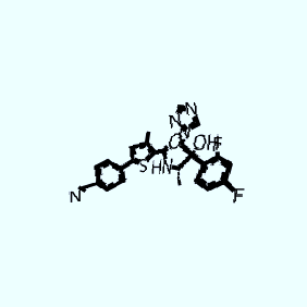 Cc1cc(-c2ccc(C#N)cc2)sc1C(=O)N[C@H](C)[C@](O)(Cn1cncn1)c1ccc(F)cc1F